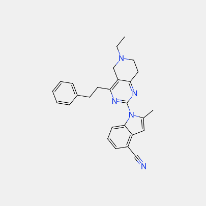 CCN1CCc2nc(-n3c(C)cc4c(C#N)cccc43)nc(CCc3ccccc3)c2C1